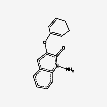 Nn1c(=O)c(OC2=CCCC=C2)cc2ccccc21